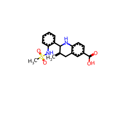 C=C1Cc2cc(C(=O)O)ccc2NC1c1ccccc1NS(C)(=O)=O